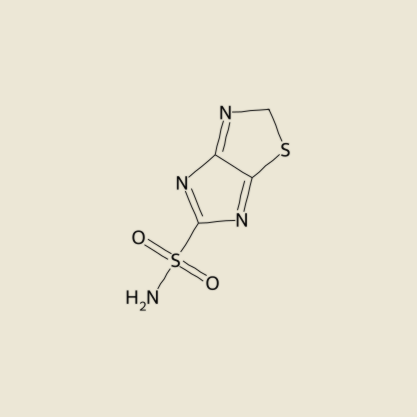 NS(=O)(=O)C1=NC2=NCSC2=N1